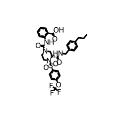 CCCc1ccc(CNC(=O)[C@H]2CN(C(=O)Nc3ccccc3C(=O)O)CCN2S(=O)(=O)c2ccc(OC(F)(F)F)cc2)cc1